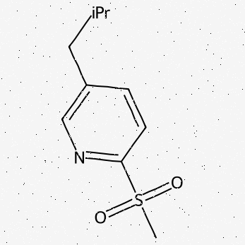 CC(C)Cc1ccc(S(C)(=O)=O)nc1